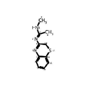 CN/C(C)=N/C1=Nc2ccccc2SC1